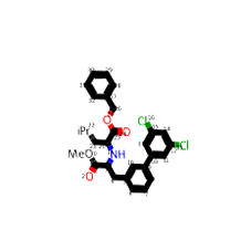 COC(=O)C(Cc1cccc(-c2cc(Cl)cc(Cl)c2)c1)NC(CC(C)C)C(=O)OCc1ccccc1